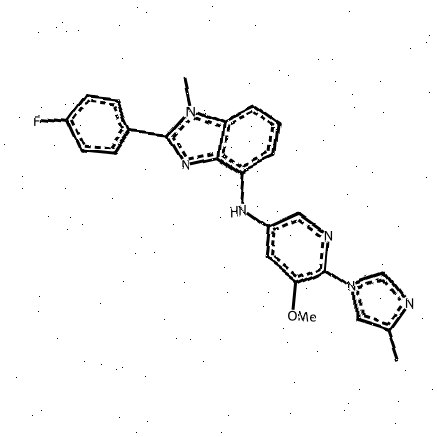 COc1cc(Nc2cccc3c2nc(-c2ccc(F)cc2)n3C)cnc1-n1cnc(C)c1